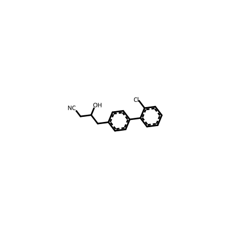 N#CCC(O)Cc1ccc(-c2ccccc2Cl)cc1